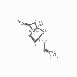 C=CC[C@@H]1C=CN2C(=O)C[C@H]2S1